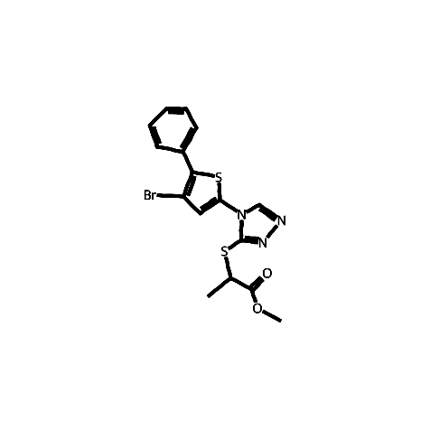 COC(=O)C(C)Sc1nncn1-c1cc(Br)c(-c2ccccc2)s1